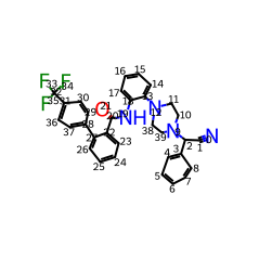 N#CC(c1ccccc1)N1CCN(c2ccccc2NC(=O)c2ccccc2-c2ccc(C(F)(F)F)cc2)CC1